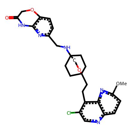 COc1ccc2ncc(Cl)c(CCC34CCC(NCc5ccc6c(n5)NC(=O)CO6)(CC3)CO4)c2n1